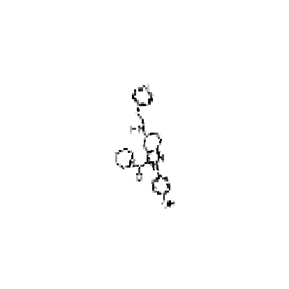 O=C(c1c2c(nn1-c1ccc(O)cc1)CCC(NCCc1ccncc1)C2)N1CCCCC1